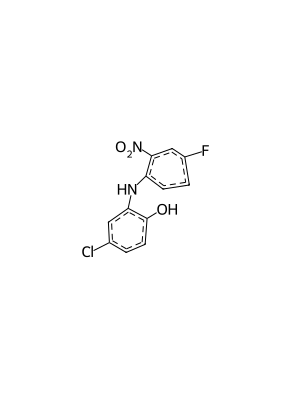 O=[N+]([O-])c1cc(F)ccc1Nc1cc(Cl)ccc1O